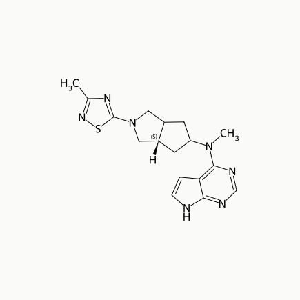 Cc1nsc(N2CC3CC(N(C)c4ncnc5[nH]ccc45)C[C@@H]3C2)n1